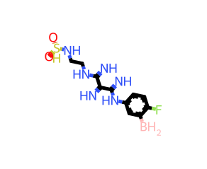 Bc1cc(NC(=N)C(=N)C(=N)NCCN[SH](=O)=O)ccc1F